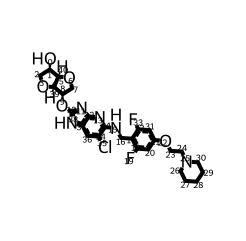 O[C@@H]1CO[C@H]2[C@@H]1OC[C@H]2Oc1nc2nc(NCc3c(F)cc(OCCN4CCCCC4)cc3F)c(Cl)cc2[nH]1